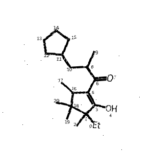 CCC1(C)C(O)=C(C(=O)C(C)CC2CCCC2)C(C)C1(C)C